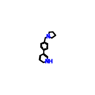 C1=CC(c2ccc(CN3CCCC3)cc2)=CNC1